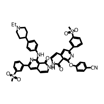 CCN1CCC(c2ccc(Nc3nc(-c4cccc(S(C)(=O)=O)c4)cc4cc[nH]c(=O)c34)cc2)CC1.CS(=O)(=O)c1cccc(-c2cc3cc[nH]c(=O)c3c(Oc3ccc(C#N)cc3)n2)c1